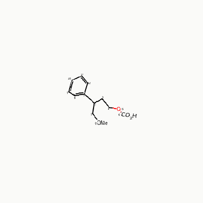 COCC(CCOC(=O)O)c1ccccc1